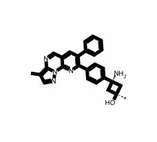 Cc1cnn2c1ncc1cc(-c3ccccc3)c(-c3ccc([C@]4(N)C[C@](C)(O)C4)cc3)nc12